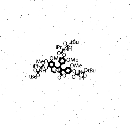 COc1cc(-c2c3n(c4c(=O)oc5cc(OC(=O)[C@@H](NC(=O)OC(C)(C)C)C(C)C)c(OC)cc5c24)CCc2c-3cc(OC)c(OC)c2OC(=O)[C@@H](NC(=O)OC(C)(C)C)C(C)C)ccc1OC(=O)[C@@H](NC(=O)OC(C)(C)C)C(C)C